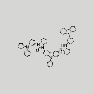 O=c1n(-c2cccc(-n3c4ccccc4c4ccccc43)c2)c2ccccc2n1-c1ccc2c(c1)c1cc(Nc3ccccc3Nc3cccc(-n4c5ccccc5c5ccccc54)c3)ccc1n2-c1ccccc1